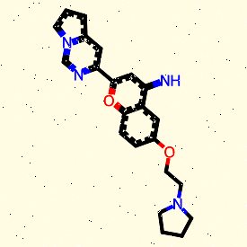 N=c1cc(-c2cc3cccn3cn2)oc2ccc(OCCN3CCCC3)cc12